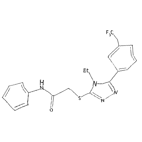 CCn1c(SCC(=O)Nc2ccccc2)nnc1-c1cccc(C(F)(F)F)c1